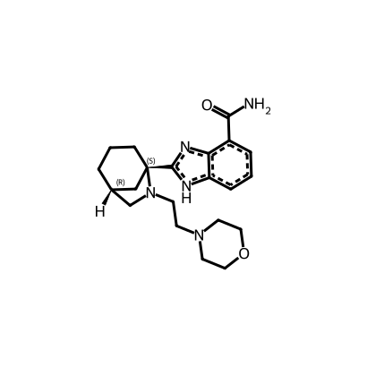 NC(=O)c1cccc2[nH]c([C@@]34CCC[C@@H](CN3CCN3CCOCC3)C4)nc12